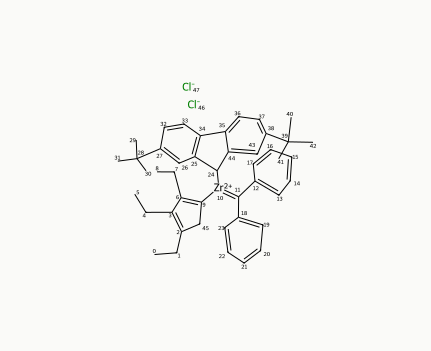 CCC1=C(CC)C(CC)=[C]([Zr+2](=[C](c2ccccc2)c2ccccc2)[CH]2c3cc(C(C)(C)C)ccc3-c3ccc(C(C)(C)C)cc32)C1.[Cl-].[Cl-]